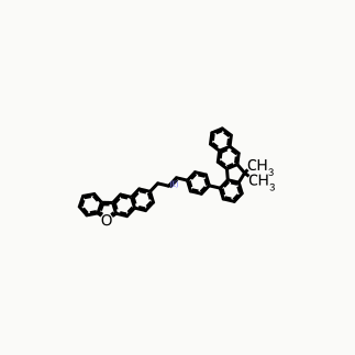 CC1(C)c2cc3ccccc3cc2-c2c(-c3ccc(/C=C/Cc4ccc5cc6oc7ccccc7c6cc5c4)cc3)cccc21